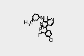 CN1CCC[C@@H](Nc2nnc(-c3ccc(Cl)cc3C(F)F)c3ccncc23)C1